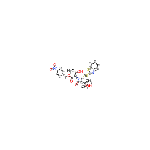 CC(O)=C(C(=O)OCc1ccc([N+](=O)[O-])cc1)N1C(=O)C(C(C)(C)O)[C@H]1SSc1nc2ccccc2s1